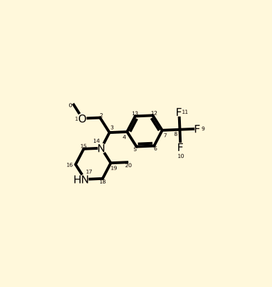 COCC(c1ccc(C(F)(F)F)cc1)N1CCNCC1C